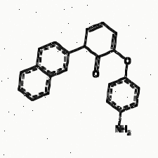 Nc1ccc(OC2=CC=CC(c3ccc4ccccc4c3)C2=O)cc1